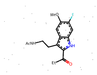 CCC(=O)c1[nH]c2cc(F)c(OC)cc2c1CCNC(C)=O